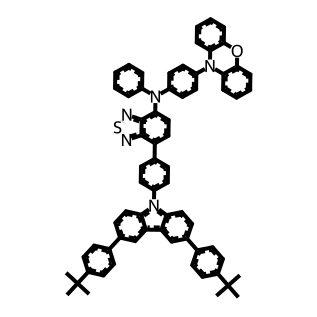 CC(C)(C)c1ccc(-c2ccc3c(c2)c2cc(-c4ccc(C(C)(C)C)cc4)ccc2n3-c2ccc(-c3ccc(N(c4ccccc4)c4ccc(N5c6ccccc6Oc6ccccc65)cc4)c4nsnc34)cc2)cc1